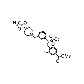 CCS(=O)(=O)N(Cc1ccc(C(=O)OC)cc1F)c1cccc(CN2CCN(S(C)(=O)=O)CC2)c1